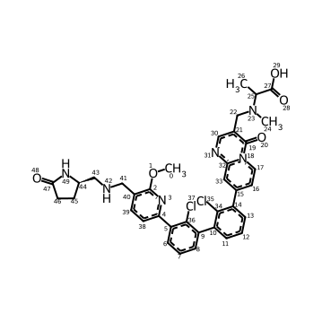 COc1nc(-c2cccc(-c3cccc(-c4ccn5c(=O)c(CN(C)C(C)C(=O)O)cnc5c4)c3Cl)c2Cl)ccc1CNC[C@H]1CCC(=O)N1